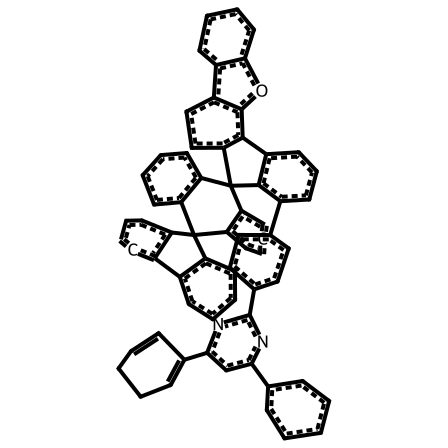 C1=CC(c2cc(-c3ccccc3)nc(-c3ccc(-c4cccc5c4C4(c6ccccc6C6(c7ccccc7-c7ccccc76)c6ccccc64)c4ccc6c(oc7ccccc76)c4-5)cc3)n2)=CCC1